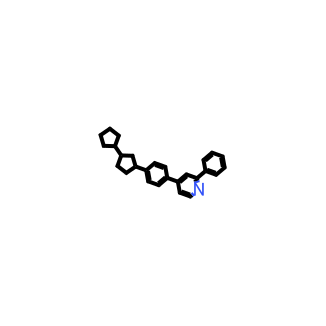 c1ccc(-c2cc(-c3ccc(C4CCC(C5CCCC5)C4)cc3)ccn2)cc1